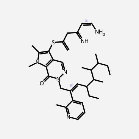 C=C(CC(=N)/C=C\N)Sc1c(C)n(C)c2c(=O)n(C/C(=C/C(CC)C(C)C(C)C(C)CC)c3cccnc3C)ncc12